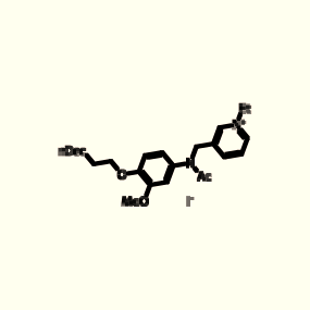 CCCCCCCCCCCCOc1ccc(N(Cc2ccc[n+](CC)c2)C(C)=O)cc1OC.[I-]